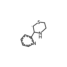 [CH]1SCCNC1c1ccccn1